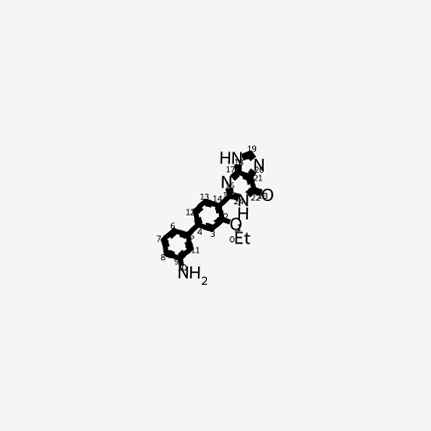 CCOc1cc(-c2cccc(N)c2)ccc1-c1nc2[nH]cnc2c(=O)[nH]1